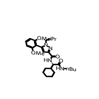 CCCCNC(=O)[C@@H](NC(=O)c1cc(-c2c(OC)cccc2OC)n(CC(C)C)n1)C1CCCCC1